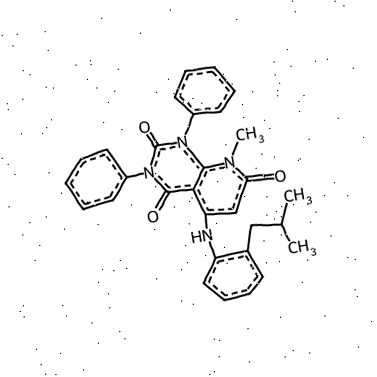 CC(C)Cc1ccccc1Nc1cc(=O)n(C)c2c1c(=O)n(-c1ccccc1)c(=O)n2-c1ccccc1